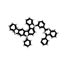 c1ccc(-c2nc(-c3cccc(-n4c5ccccc5c5c6c7cc8c(cc7n(-c7ccccc7)c6ccc54)oc4ccccc48)c3)nc3ccccc23)cc1